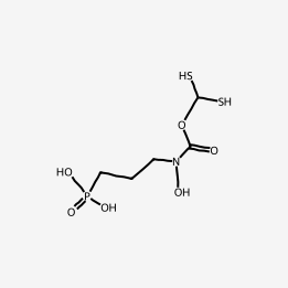 O=C(OC(S)S)N(O)CCCP(=O)(O)O